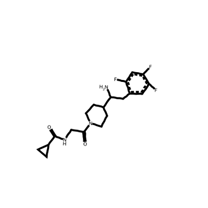 NC(Cc1cc(F)c(F)cc1F)C1CCN(C(=O)CNC(=O)C2CC2)CC1